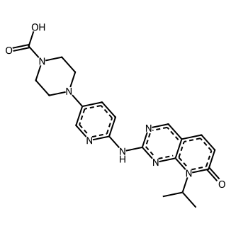 CC(C)n1c(=O)ccc2cnc(Nc3ccc(N4CCN(C(=O)O)CC4)cn3)nc21